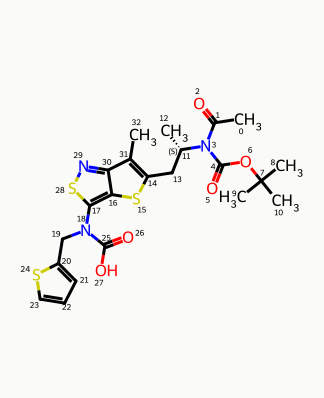 CC(=O)N(C(=O)OC(C)(C)C)[C@@H](C)Cc1sc2c(N(Cc3cccs3)C(=O)O)snc2c1C